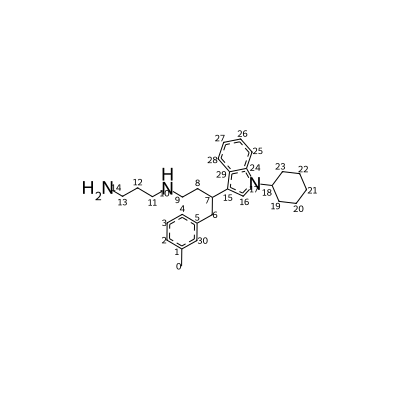 Cc1cccc(CC(CCNCCCN)c2cn(C3CCCCC3)c3ccccc23)c1